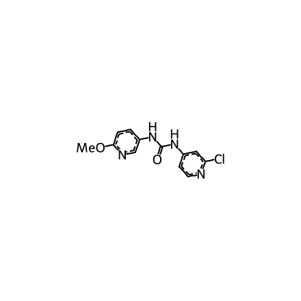 COc1ccc(NC(=O)Nc2ccnc(Cl)c2)cn1